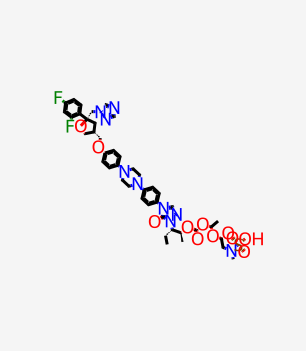 CC[C@@H]([C@H](C)OC(=O)OC(C)OC(=O)CN(C)S(=O)(=O)O)n1ncn(-c2ccc(N3CCN(c4ccc(OC[C@@H]5CO[C@@](Cn6cncn6)(c6ccc(F)cc6F)C5)cc4)CC3)cc2)c1=O